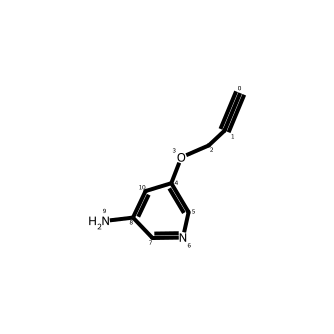 C#CCOc1cncc(N)c1